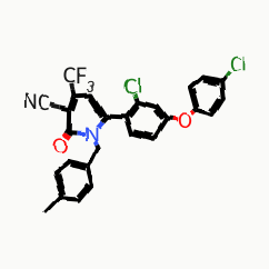 Cc1ccc(Cn2c(-c3ccc(Oc4ccc(Cl)cc4)cc3Cl)cc(C(F)(F)F)c(C#N)c2=O)cc1